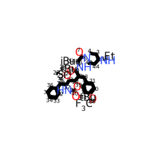 CCNC1CCN(C(=O)[C@@H](NC(=O)C(Cc2ccc(OC(F)(F)F)cc2)CC(O[Si](C)(C)C(C)(C)C)C(Cc2ccccc2)NC(=O)OC(C)(C)C)[C@@H](C)CC)CC1